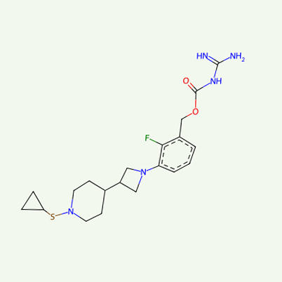 N=C(N)NC(=O)OCc1cccc(N2CC(C3CCN(SC4CC4)CC3)C2)c1F